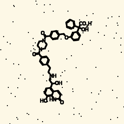 O=C(c1ccc(CCNCC(O)c2ccc(O)c3[nH]c(=O)ccc23)cc1)N1CCN(C(=O)c2ccc(COc3cccc(C(O)(C(=O)O)c4ccccc4)c3)cc2)CC1